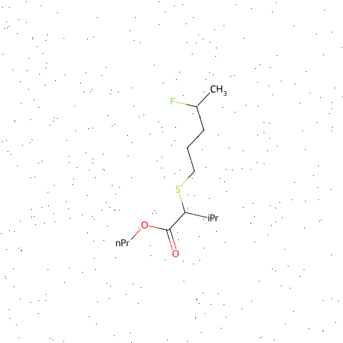 CCCOC(=O)C(SCCCC(C)F)C(C)C